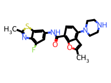 Cc1cc2c(N3CCNCC3)ccc(C(=O)Nc3cc(F)c4nc(C)sc4c3)c2o1